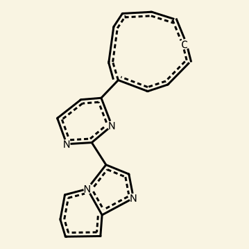 c1ccccc(-c2ccnc(-c3cnc4ccccn34)n2)cccc1